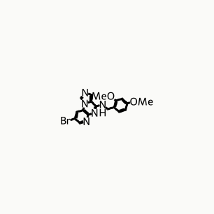 COc1ccc(CNc2nc3ncc(Br)cc3n3cncc23)c(OC)c1